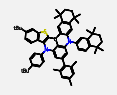 Cc1cc(C)c(-c2cc3c4c(c2)N(c2ccc(C(C)(C)C)cc2)c2c(sc5cc(C(C)(C)C)ccc25)B4c2cc4c(cc2N3c2ccc3c(c2)C(C)(C)CCC3(C)C)C(C)(C)CCC4(C)C)c(C)c1